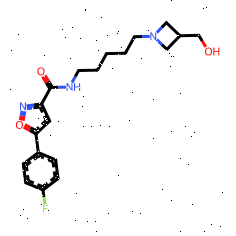 O=C(NCCCCCN1CC(CO)C1)c1cc(-c2ccc(F)cc2)on1